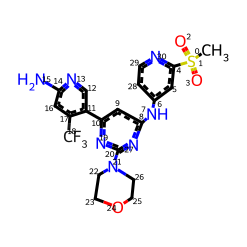 CS(=O)(=O)c1cc(Nc2cc(-c3cnc(N)cc3C(F)(F)F)nc(N3CCOCC3)n2)ccn1